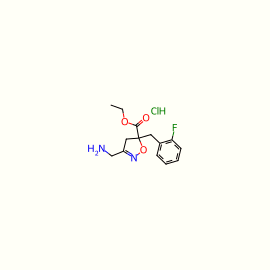 CCOC(=O)C1(Cc2ccccc2F)CC(CN)=NO1.Cl